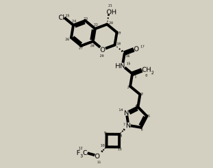 C=C(CCc1ccn([C@H]2C[C@@H](OC(F)(F)F)C2)n1)NC(=O)[C@H]1C[C@@H](O)c2cc(Cl)ccc2O1